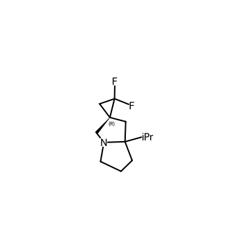 CC(C)C12CCCN1C[C@@]1(C2)CC1(F)F